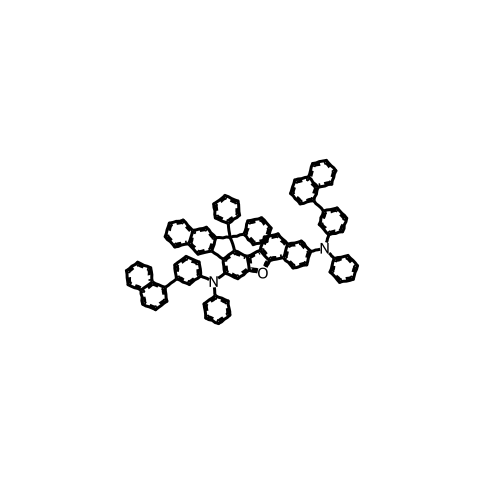 c1ccc(N(c2cccc(-c3cccc4ccccc34)c2)c2ccc3c(ccc4c3oc3cc(N(c5ccccc5)c5cccc(-c6cccc7ccccc67)c5)c5c(c34)C(c3ccccc3)(c3ccccc3)c3cc4ccccc4cc3-5)c2)cc1